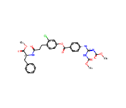 CCCCOC(=O)[C@H](Cc1ccccc1)NC(=O)CCc1ccc(OC(=O)c2ccc(N/C(=N/C(=O)OC(C)(C)C)NC(=O)OC(C)(C)C)cc2)cc1Cl